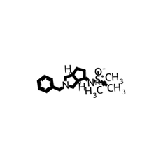 CC(C)(C)[S@+]([O-])N=C1CC[C@@H]2CN(Cc3ccccc3)C[C@H]12